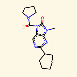 Cn1c(=O)n(C(=O)N2CCCC2)c2cnc(C3CCCCC3)nc21